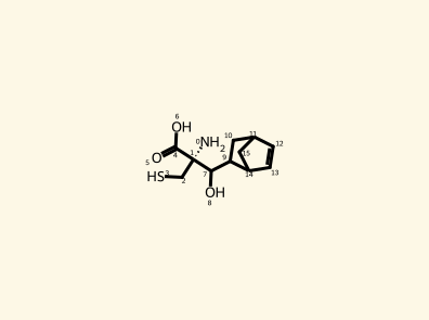 N[C@](CS)(C(=O)O)C(O)C1CC2C=CC1C2